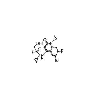 O=c1cc(NC(C2CC2)C(F)(F)CO)c2cc(Br)c(F)cc2n1C1CC1